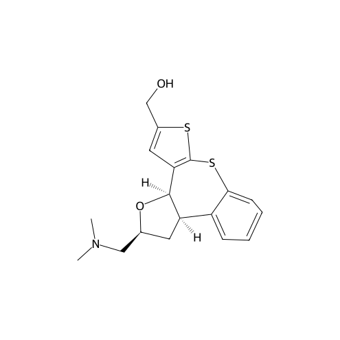 CN(C)C[C@@H]1C[C@@H]2c3ccccc3Sc3sc(CO)cc3[C@@H]2O1